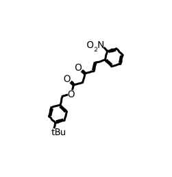 CC(C)(C)c1ccc(COC(=O)CC(=O)C=Cc2ccccc2[N+](=O)[O-])cc1